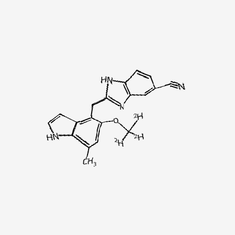 [2H]C([2H])([2H])Oc1cc(C)c2[nH]ccc2c1Cc1nc2cc(C#N)ccc2[nH]1